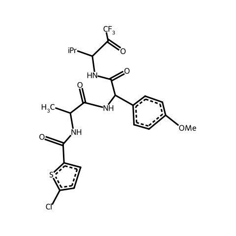 COc1ccc(C(NC(=O)C(C)NC(=O)c2ccc(Cl)s2)C(=O)NC(C(=O)C(F)(F)F)C(C)C)cc1